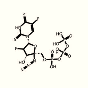 [N-]=[N+]=N[C@]1(COP(=O)(O)OP(=O)(O)OP(=O)(O)O)O[C@@H](n2cc(F)c(=S)[nH]c2=S)C(F)[C@H]1O